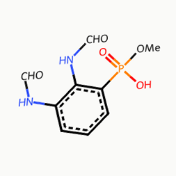 COP(=O)(O)c1cccc(NC=O)c1NC=O